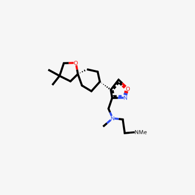 CNCCN(C)Cc1nocc1[C@H]1CC[C@]2(CC1)CC(C)(C)CO2